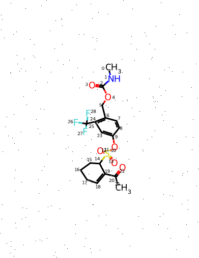 CNC(=O)OCc1ccc(OS(=O)(=O)C2CCCC=C2C(C)=O)cc1C(F)(F)F